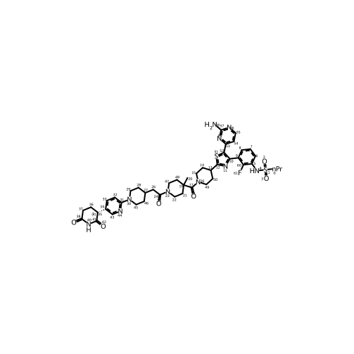 CCCS(=O)(=O)Nc1cccc(-c2nc(C3CCN(C(=O)C4(C)CCN(C(=O)CC5CCN(c6ccc([C@H]7CCC(=O)NC7=O)cn6)CC5)CC4)CC3)sc2-c2ccnc(N)n2)c1F